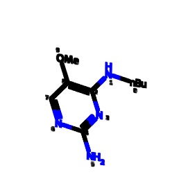 CCCCNc1nc(N)ncc1OC